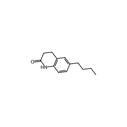 CCC[CH]c1ccc2c(c1)CCC(=O)N2